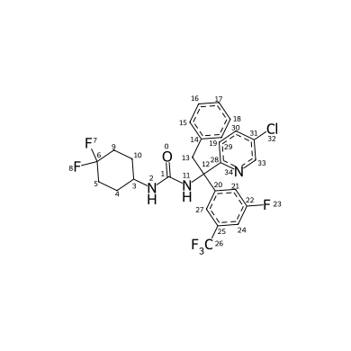 O=C(NC1CCC(F)(F)CC1)NC(Cc1ccccc1)(c1cc(F)cc(C(F)(F)F)c1)c1ccc(Cl)cn1